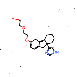 OCCOCCOC1=CC=C2CC3(c4c[nH]cn4)CCCCC3=C2C1